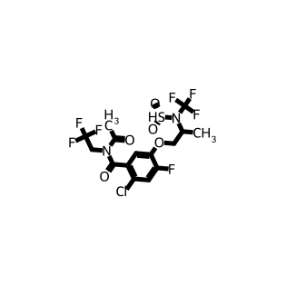 CC(=O)N(CC(F)(F)F)C(=O)c1cc(OCC(C)N([SH](=O)=O)C(F)(F)F)c(F)cc1Cl